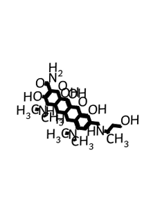 CC(CCO)NCc1cc(N(C)C)c2c(c1O)C(=O)C1=C(O)[C@]3(O)C(=O)C(C(N)=O)=C(O)C(N(C)C)[C@@H]3C[C@H]1C2